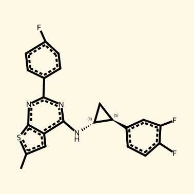 Cc1cc2c(N[C@@H]3C[C@H]3c3ccc(F)c(F)c3)nc(-c3ccc(F)cc3)nc2s1